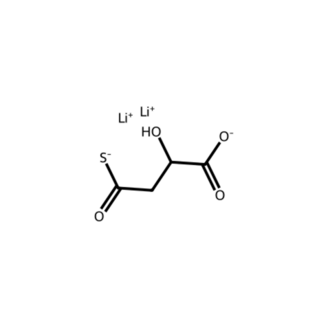 O=C([S-])CC(O)C(=O)[O-].[Li+].[Li+]